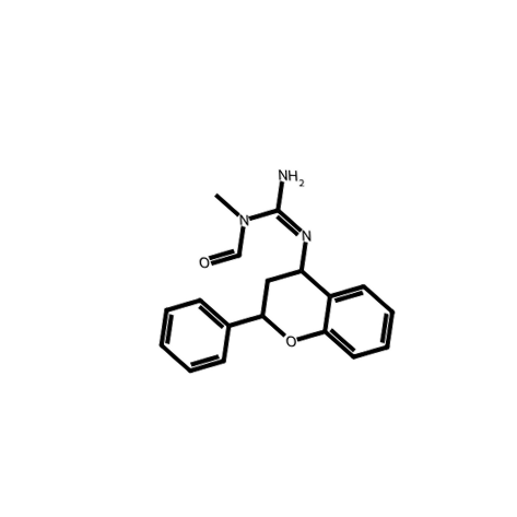 CN(C=O)/C(N)=N\C1CC(c2ccccc2)Oc2ccccc21